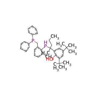 CCCC(C)(Pc1c(C)cccc1CP(c1ccccc1)c1ccccc1)c1cc(C(C)(C)C)cc(C(C)(C)C)c1O